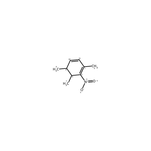 CC1=C([N+](=O)[O-])C(C)C(C)C=C1